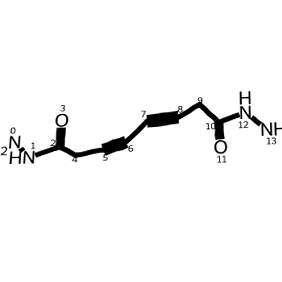 NNC(=O)CC#CC#CCC(=O)NN